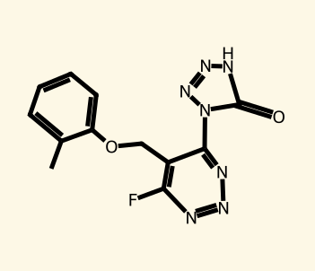 Cc1ccccc1OCc1c(F)nnnc1-n1nn[nH]c1=O